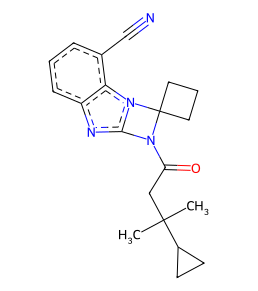 CC(C)(CC(=O)N1c2nc3cccc(C#N)c3n2C12CCC2)C1CC1